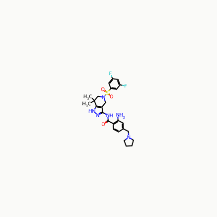 CC1(C)CN(S(=O)(=O)c2cc(F)cc(F)c2)Cc2c(NC(=O)c3ccc(CN4CCCC4)cc3N)n[nH]c21